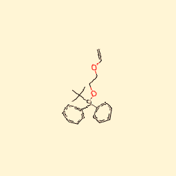 C=COCCO[Si](c1ccccc1)(c1ccccc1)C(C)(C)C